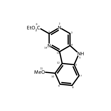 CCOC(=O)c1ncc2[nH]c3cccc(OC)c3c2n1